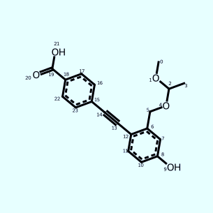 COC(C)OCc1cc(O)ccc1C#Cc1ccc(C(=O)O)cc1